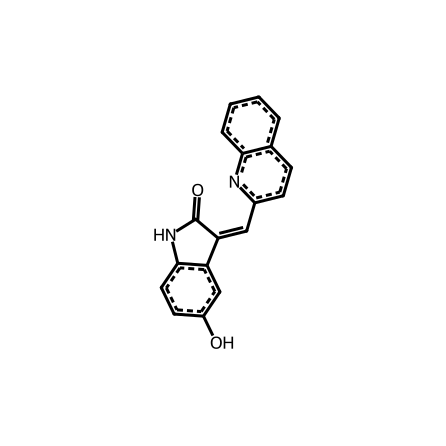 O=C1Nc2ccc(O)cc2C1=Cc1ccc2ccccc2n1